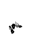 CCc1nc2cc(C)cc(C)c2n1-c1ccc(CCNC(=O)NS(=O)(=O)c2ccc(C)cc2)cc1